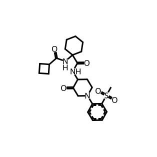 CS(=O)(=O)c1ccccc1N1CCC(NC(=O)C2(NC(=O)C3CCC3)CCCCC2)C(=O)C1